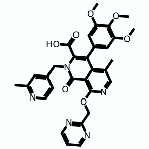 COc1cc(-c2c(C(=O)O)n(Cc3ccnc(C)c3)c(=O)c3c(OCc4ncccn4)ncc(C)c23)cc(OC)c1OC